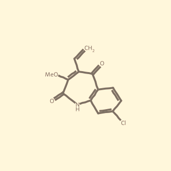 C=Cc1c(OC)c(=O)[nH]c2cc(Cl)ccc2c1=O